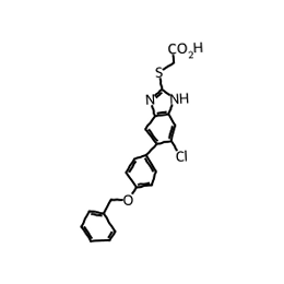 O=C(O)CSc1nc2cc(-c3ccc(OCc4ccccc4)cc3)c(Cl)cc2[nH]1